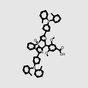 COc1cc(C(=O)O)cc(OC)c1C1c2sc(-c3ccc(N(c4ccccc4C)c4ccccc4C)cc3)cc2P(=O)(c2ccccc2)c2cc(-c3ccc(N(c4ccccc4C)c4ccccc4C)cc3)sc21